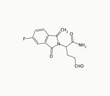 C=C1c2ccc(F)cc2C(=O)N1C(CCC=O)C(N)=O